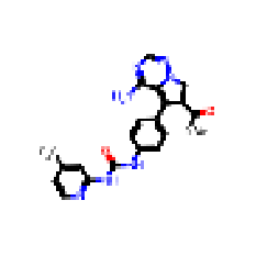 CNC(=O)C1CN2N=CN=C(N)C2=C1c1ccc(NC(=O)Nc2cc(C(F)(F)F)ccn2)cc1